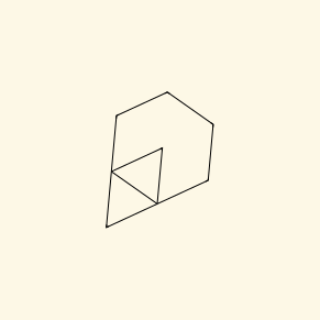 C1CCC23CC2(C1)C3